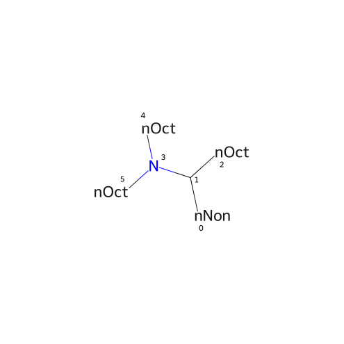 CCCCCCCCCC(CCCCCCCC)N(CCCCCCCC)CCCCCCCC